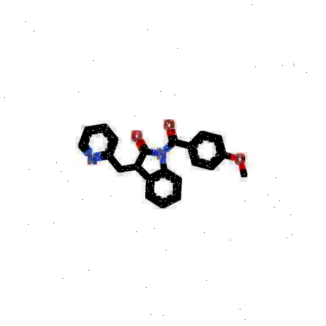 COc1ccc(C(=O)N2C(=O)C(Cc3ccccn3)c3ccccc32)cc1